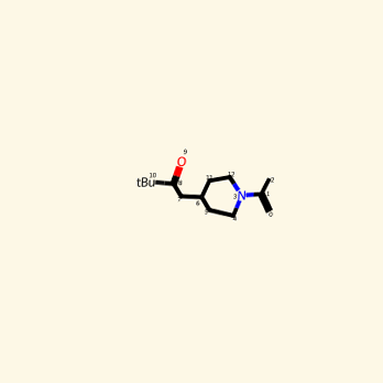 C=C(C)N1CCC(CC(=O)C(C)(C)C)CC1